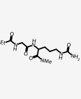 CCC(=O)NCC(=O)NC(CCCNC(N)=O)C(=O)NC